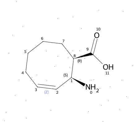 N[C@H]1/C=C\CCCC[C@H]1C(=O)O